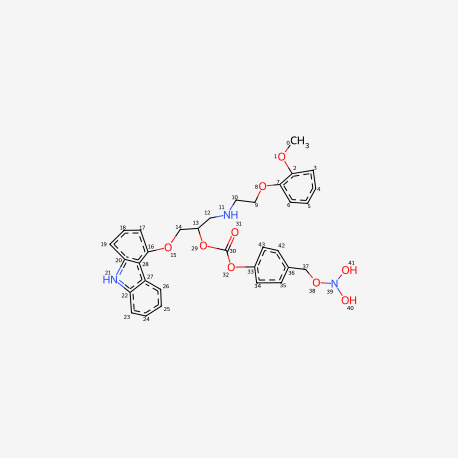 COc1ccccc1OCCNCC(COc1cccc2[nH]c3ccccc3c12)OC(=O)Oc1ccc(CON(O)O)cc1